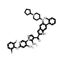 Cc1cc(Oc2c(F)cccc2F)ncc1-n1ncc(C(=O)c2cc3cc(OC4CCN(C5CCCC5)CC4)c(-c4ccccc4Cl)cc3[nH]2)c1N